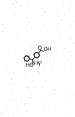 O=C(CO)c1ccc(C(=NO)c2ccccc2)cc1.[I-].[K+]